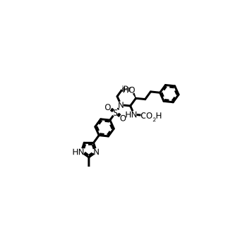 Cc1nc(-c2ccc(S(=O)(=O)N(CC(C)C)C(NC(=O)O)[C@@H](O)CCc3ccccc3)cc2)c[nH]1